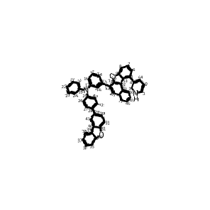 C1=CNCC(c2cccc3oc4c(-c5cccc(N(c6ccccc6)c6ccc(-c7ccc8oc9ccccc9c8c7)cc6)c5)cc5ccccc5c4c23)=C1